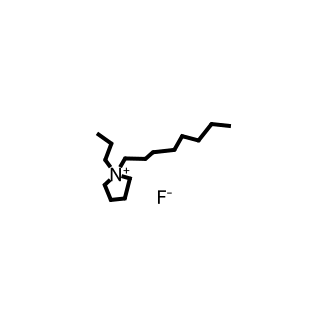 CCCCCCCC[N+]1(CCC)CCCC1.[F-]